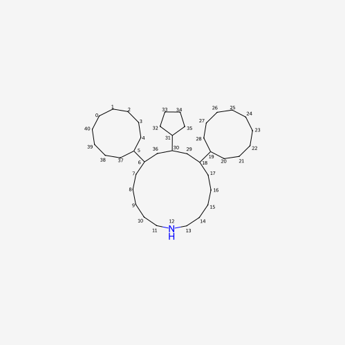 C1CCCCC(C2CCCCCNCCCCCC(C3CCCCCCCCC3)CC(C3CCCC3)C2)CCCC1